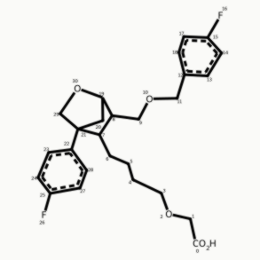 O=C(O)COCCCCC1C(COCc2ccc(F)cc2)C2CC1(c1ccc(F)cc1)CO2